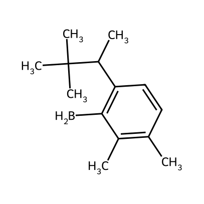 Bc1c(C(C)C(C)(C)C)ccc(C)c1C